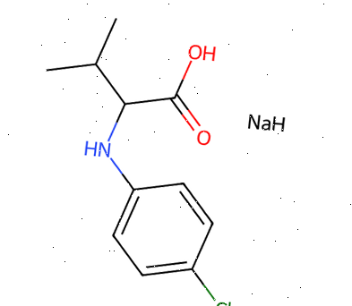 CC(C)C(Nc1ccc(Cl)cc1)C(=O)O.[NaH]